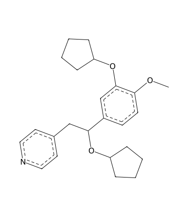 COc1ccc(C(Cc2ccncc2)OC2CCCC2)cc1OC1CCCC1